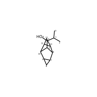 CC(C)C(O)C1C2C3CC3C1C1CC12